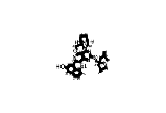 C=C1CN2CC(=C)CC2(COc2nc3c4c(nc(-c5cc(O)cc6cccc(CC)c56)cc4n2)OCC2[C@H]4CC[C@@H](CN32)N4)C1